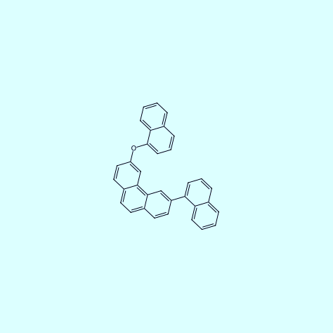 c1ccc2c(Oc3ccc4ccc5ccc(-c6cccc7ccccc67)cc5c4c3)cccc2c1